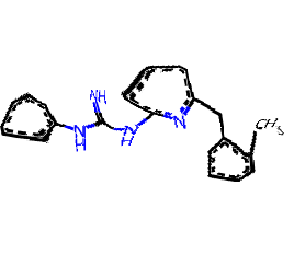 Cc1ccccc1Cc1cccc(NC(=N)Nc2ccccc2)n1